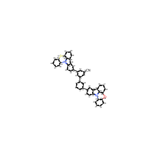 N#Cc1cc(-c2cccc(-c3ccc4c(c3)c3cccc5c3n4-c3ccccc3O5)c2)cc(-c2ccc3c(c2)c2cccc4c2n3-c2ccccc2S4)c1